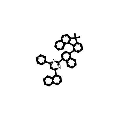 CC1(C)c2cccc(-c3ccc(-c4nc(-c5ccccc5)cc(-c5cccc6ccccc56)n4)c4ccccc34)c2-c2c1ccc1ccccc21